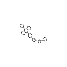 c1ccc(-c2ccc(-c3ccc(-c4ccc(-c5c6ccccc6c(-c6ccccc6)c6ccccc56)cc4)s3)s2)cc1